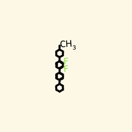 CCC1CCC(c2ccc(-c3ccc(C4CCCCC4)cc3)c(F)c2F)CC1